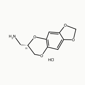 Cl.NC[C@H]1COc2cc3c(cc2O1)OCO3